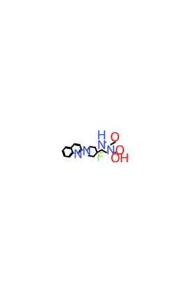 CNC(CN(CC=O)C(=O)O)C1(F)CCN(c2ccc3ccccc3n2)CC1